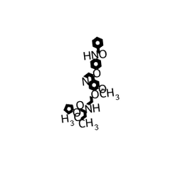 COc1cc2c(Oc3ccc(NC(=O)c4ccccc4)cc3)ccnc2cc1OCCCNC(CC(C)C)C(=O)OC1CCCC1